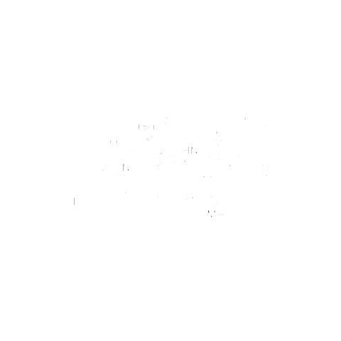 COCOc1ccc(N(C(=O)OC(C)(C)C)c2ccc(F)cc2)cc1C1(c2ccsc2)CC(=O)C(Sc2ccccc2Cl)C(=O)N1